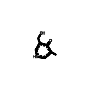 Cc1c[nH]cc(CO)c1=O